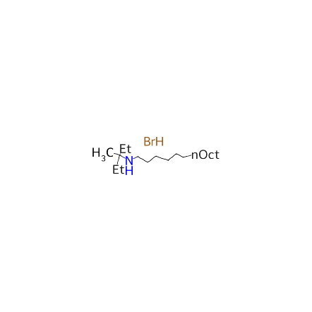 Br.CCCCCCCCCCCCCCNC(C)(CC)CC